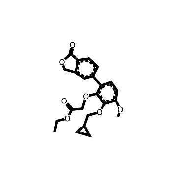 CCOC(=O)COc1c(-c2ccc3c(c2)COC3=O)ccc(OC)c1OCC1CC1